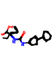 CCC(CC)(NC(=O)Nc1ccc(-c2ccccc2)cc1)C(=O)O